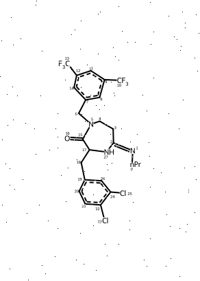 CCCN=C1CCN(Cc2cc(C(F)(F)F)cc(C(F)(F)F)c2)C(=O)C(Cc2ccc(Cl)c(Cl)c2)N1